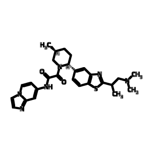 CC(CN(C)C)c1nc2cc([C@H]3CC[C@H](C)CN3C(=O)C(=O)Nc3ccn4ccnc4c3)ccc2s1